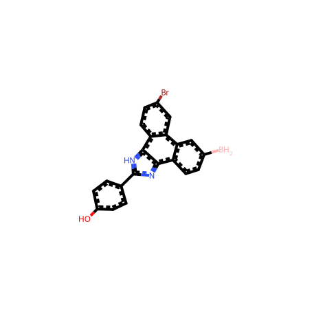 Bc1ccc2c(c1)c1cc(Br)ccc1c1[nH]c(-c3ccc(O)cc3)nc21